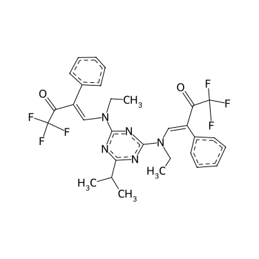 CCN(/C=C(/C(=O)C(F)(F)F)c1ccccc1)c1nc(C(C)C)nc(N(/C=C(/C(=O)C(F)(F)F)c2ccccc2)CC)n1